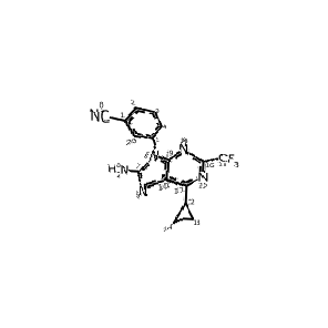 N#Cc1cccc(-n2c(N)nc3c(C4CC4)nc(C(F)(F)F)nc32)c1